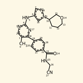 Cc1cnc(Nc2cnn(C3CCCOC3)c2)nc1-c1ccc(C(=O)NCC#N)cc1